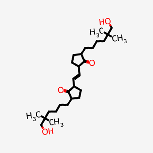 CC(C)(CO)CCCCC1CCC(/C=C/C2CCC(CCCCC(C)(C)CO)C2=O)C1=O